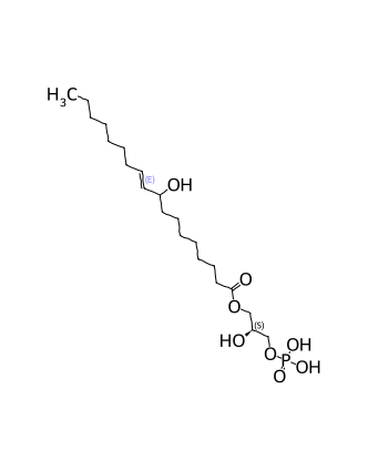 CCCCCCC/C=C/C(O)CCCCCCCC(=O)OC[C@H](O)COP(=O)(O)O